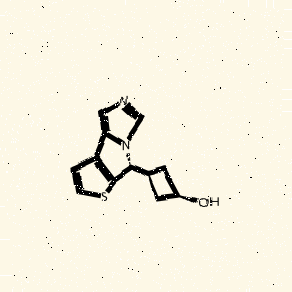 O[C@H]1C[C@@H]([C@@H]2c3sccc3-c3cncn32)C1